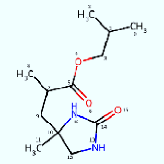 CC(C)COC(=O)C(C)CC1(C)CNC(=O)N1